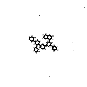 c1ccc(-c2ccc(-c3cccc(-c4nc(-c5ccccc5)nc(-c5cccc6ccccc56)n4)c3)c(-c3ccccc3)c2)cc1